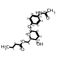 CCCC(=O)OC[C@H]1O[C@H](Oc2ccc(NC(C)=O)cc2)C=C[C@@H]1O